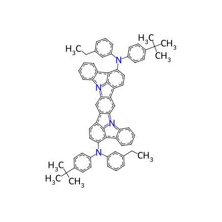 CCc1cccc(N(c2ccc(C(C)(C)C)cc2)c2ccc3c4cc5c(cc4n4c6ccccc6c2c34)c2ccc(N(c3ccc(C(C)(C)C)cc3)c3cccc(CC)c3)c3c4ccccc4n5c23)c1